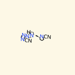 N#Cc1cccc(C#C[C@H]2CC[C@H]3CN(c4nccnc4C#N)CCN32)n1